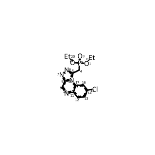 CCOP(=O)(Cc1nnc2cnc3ccc(Cl)cc3n12)OCC